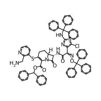 NCc1ncccc1SC1=C(C(=O)OC(c2ccccc2)c2ccccc2)N2C(=O)[C@@H](NC(=O)/C(=N\OC(c3ccccc3)(c3ccccc3)c3ccccc3)c3nc(NC(c4ccccc4)(c4ccccc4)c4ccccc4)sc3Cl)[C@H]2CC1